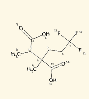 CC(C(=O)O)C(C)(CCC(F)(F)F)C(=O)O